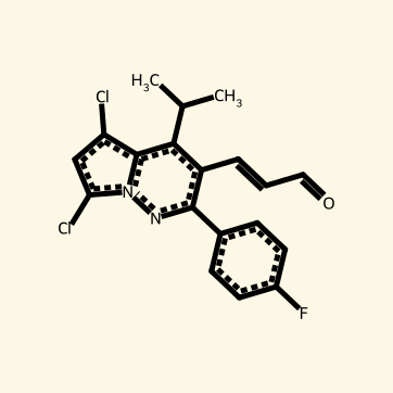 CC(C)c1c(C=CC=O)c(-c2ccc(F)cc2)nn2c(Cl)cc(Cl)c12